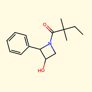 CCC(C)(C)C(=O)N1CC(O)C1c1ccccc1